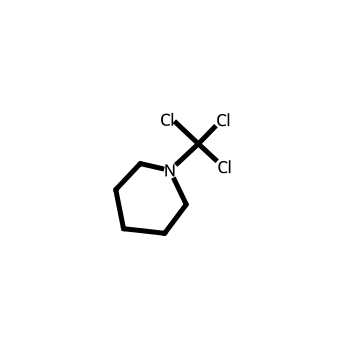 ClC(Cl)(Cl)N1CCCCC1